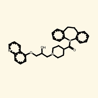 O=C(C1CCN(CC(O)COc2cccc3ncccc23)CC1)N1c2ccccc2CCc2ccccc21